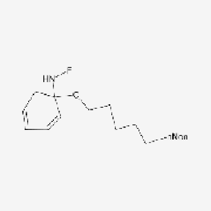 CCCCCCCCCCCCCCOC1(NF)C=CC=CC1